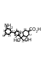 Cc1cc(N)cc(-c2cnc(C(O)(CO)C3CCC(C(=O)O)CC3)s2)c1